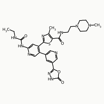 CCNC(=O)Nc1cc(-c2nc(C)c(C(=O)NCCN3CCN(C)CC3)s2)c(-c2cncc(-c3n[nH]c(=O)o3)c2)cn1